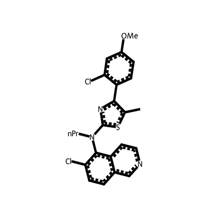 CCCN(c1nc(-c2ccc(OC)cc2Cl)c(C)s1)c1c(Cl)ccc2cnccc12